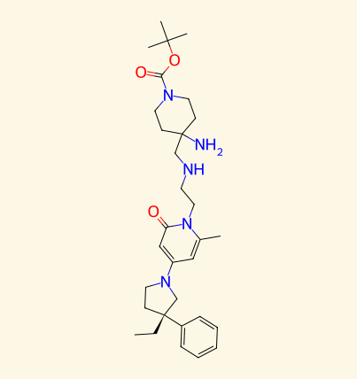 CC[C@@]1(c2ccccc2)CCN(c2cc(C)n(CCNCC3(N)CCN(C(=O)OC(C)(C)C)CC3)c(=O)c2)C1